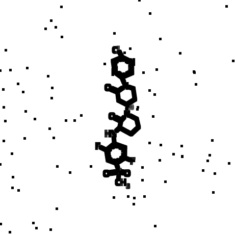 CS(=O)(=O)c1cc(F)c(NC2CCCN([C@H]3CCN(c4cnc(Cl)cn4)C(=O)C3)C2=O)cc1F